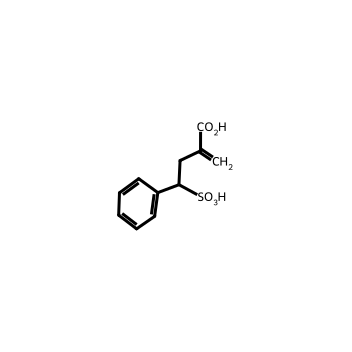 C=C(CC(c1ccccc1)S(=O)(=O)O)C(=O)O